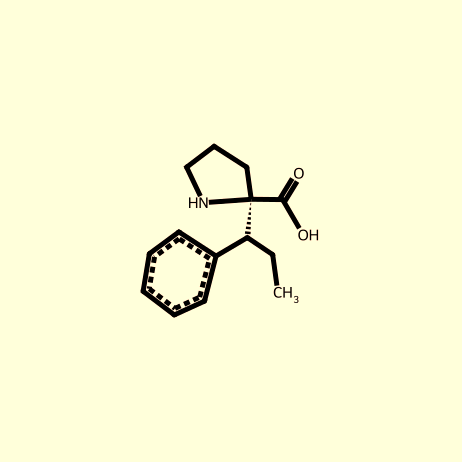 CCC(c1ccccc1)[C@@]1(C(=O)O)CCCN1